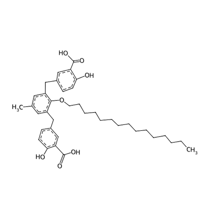 CCCCCCCCCCCCCCCOc1c(Cc2ccc(O)c(C(=O)O)c2)cc(C)cc1Cc1ccc(O)c(C(=O)O)c1